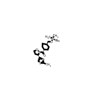 Cc1nc([C@@H]2CCON2C(=O)[C@H]2CC[C@H](CO[Si](C)(C)C(C)(C)C)CC2)cs1